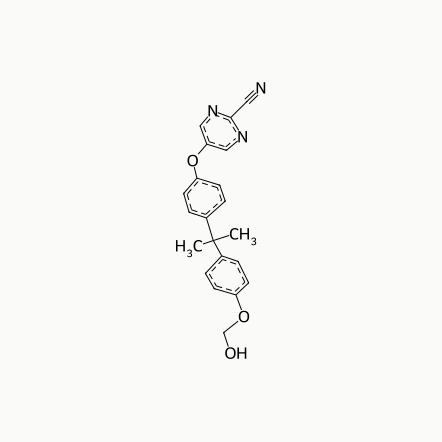 CC(C)(c1ccc(OCO)cc1)c1ccc(Oc2cnc(C#N)nc2)cc1